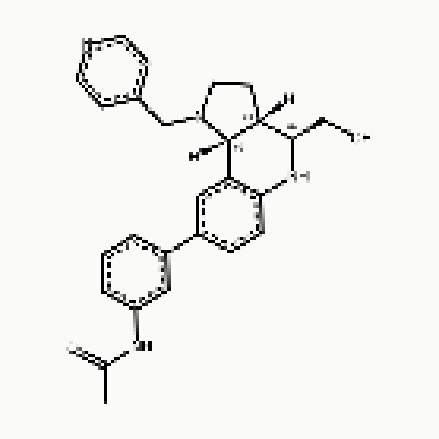 CC(=O)Nc1cccc(-c2ccc3c(c2)[C@H]2[C@H](CCN2Cc2ccncc2)[C@@H](CO)N3)c1